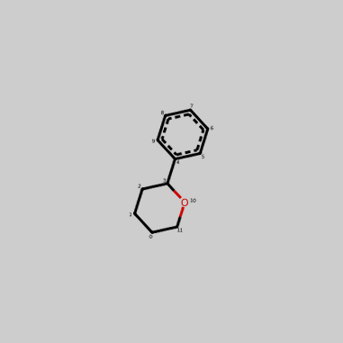 [CH]1CCC(c2ccccc2)OC1